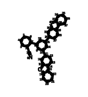 N#Cc1ccccc1-c1cc(-c2ccc3c(c2)oc2ccccc23)cc(-c2ccc3c(c2)sc2ccccc23)c1